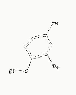 CCOc1ccc(C#N)cc1Br